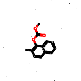 COC(=O)Oc1c(C)ccc2ccccc12